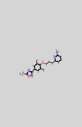 CC(=O)c1cccc(CCCOc2c(C)cc(-c3noc(C(F)(F)F)n3)cc2C)n1